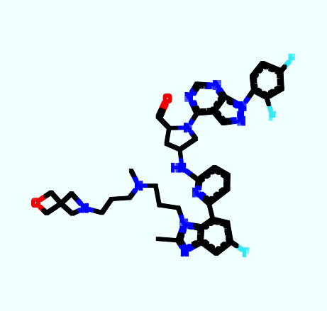 Cc1nc2cc(F)cc(-c3cccc(NC4CC(C=O)N(c5ncnc6c5cnn6-c5ccc(F)cc5F)C4)n3)c2n1CCCN(C)CCCN1CC2(COC2)C1